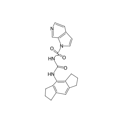 O=C(Nc1c2c(cc3c1CCC3)CCC2)NS(=O)(=O)n1ccc2ccncc21